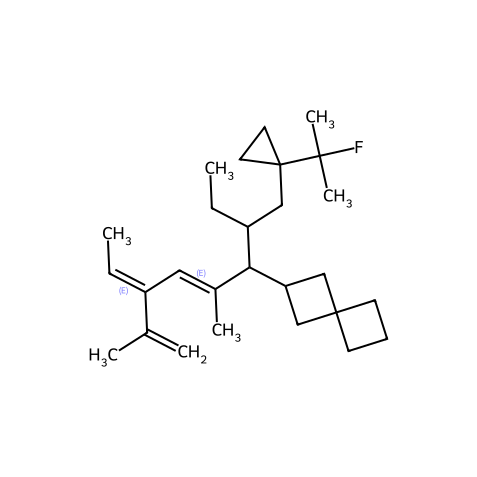 C=C(C)C(=C/C)/C=C(\C)C(C1CC2(CCC2)C1)C(CC)CC1(C(C)(C)F)CC1